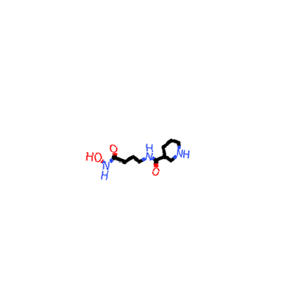 O=C(CCCNC(=O)C1CCCNC1)NO